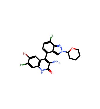 Nc1c(-c2ccc(Cl)c3nn(C4CCCCO4)cc23)c2cc(Br)c(Cl)cc2[nH]c1=O